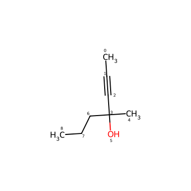 CC#CC(C)(O)CCC